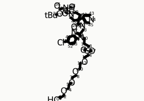 C#CCOCCOCCOCCOCCS(=O)(=O)CCCn1c(CN2C(=O)C3(CCN(S(=O)(=O)NC(=O)OC(C)(C)C)CC3)c3ccncc32)nc2cc(Cl)ccc21